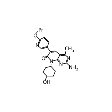 Cc1nc(N)nc2c1cc(-c1ccc(OC(C)C)nc1)c(=O)n2[C@H]1CC[C@H](O)CC1